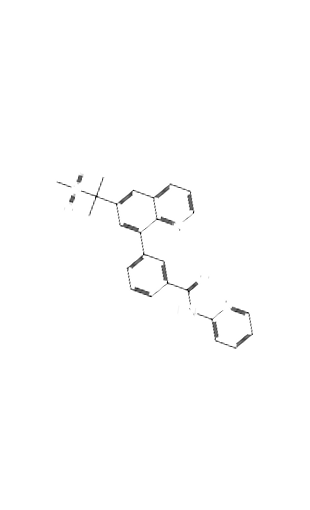 CC(C)(c1cc(-c2cccc(C(=O)Nc3ccccn3)c2)c2ncccc2c1)S(C)(=O)=O